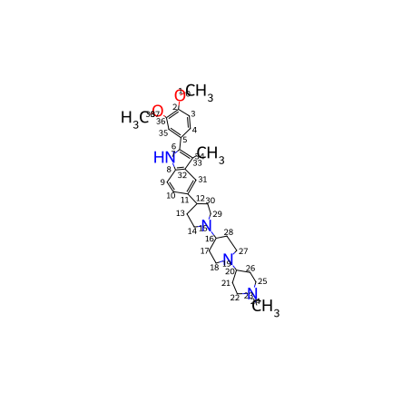 COc1ccc(-c2[nH]c3ccc(C4CCN(C5CCN(C6CCN(C)CC6)CC5)CC4)cc3c2C)cc1OC